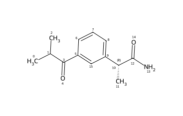 CC(C)C(=O)c1cccc([C@@H](C)C(N)=O)c1